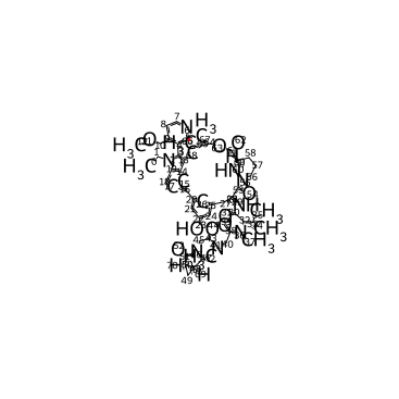 CCn1c(-c2cnccc2COC)c2c3cc(ccc31)-c1cc(O)cc(c1)C[C@H](NC(=O)C(C(C)C)N(C)C(=O)CN(C)C(=O)CN1C[C@H]3C[C@H]3C1=O)C(=O)N1CCC[C@H](N1)C(=O)OCC(C)(C)C2